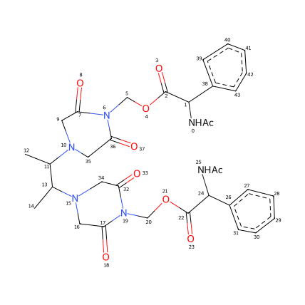 CC(=O)NC(C(=O)OCN1C(=O)CN(C(C)C(C)N2CC(=O)N(COC(=O)C(NC(C)=O)c3ccccc3)C(=O)C2)CC1=O)c1ccccc1